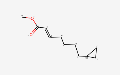 COC(=O)C=CCCCCC1[CH]C1